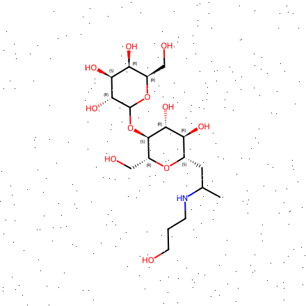 CC(C[C@@H]1O[C@H](CO)[C@@H](OC2O[C@H](CO)[C@H](O)[C@H](O)[C@H]2O)[C@H](O)[C@H]1O)NCCCO